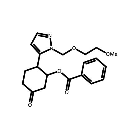 COCCOCn1nccc1C1CCC(=O)CC1OC(=O)c1ccccc1